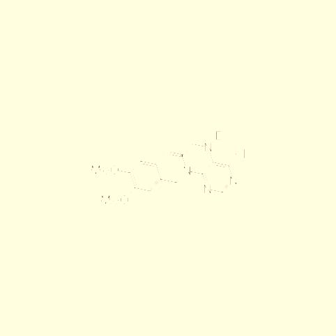 CCN1CC(=O)N(Cc2ccc(OC)c(OC)c2)c2ncnc(Cl)c21